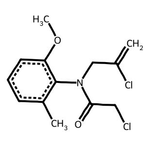 C=C(Cl)CN(C(=O)CCl)c1c(C)cccc1OC